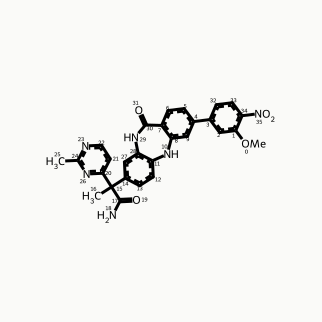 COc1cc(-c2ccc3c(c2)Nc2ccc(C(C)(C(N)=O)c4ccnc(C)n4)cc2NC3=O)ccc1[N+](=O)[O-]